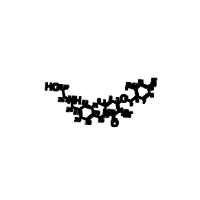 Cc1cc(OCc2ccc(F)cc2F)c(Br)c(=O)n1Cc1ccc(CNCCO)cc1